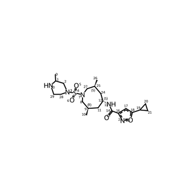 CC1CN(S(=O)(=O)N2C[C@H](C)C[C@@H](NC(=O)c3cc(C4CC4)on3)C[C@H](C)C2)CCN1